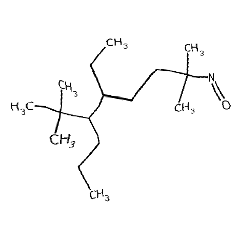 CCCC(C(CC)CCC(C)(C)N=O)C(C)(C)C